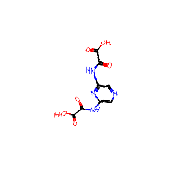 O=C(O)C(=O)Nc1cncc(NC(=O)C(=O)O)n1